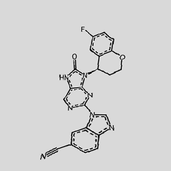 N#Cc1ccc2ncn(-c3ncc4[nH]c(=O)n([C@@H]5CCOc6ccc(F)cc65)c4n3)c2c1